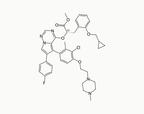 COC(=O)[C@H](Cc1ccccc1OCC1CC1)Oc1ncnn2cc(-c3ccc(F)cc3)c(-c3ccc(OCCN4CCN(C)CC4)c(Cl)c3C)c12